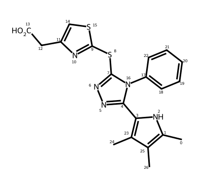 Cc1[nH]c(-c2nnc(Sc3nc(CC(=O)O)cs3)n2-c2ccccc2)c(C)c1C